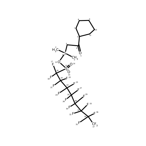 CS(C)(CC(=O)C1CCCCC1)OS(=O)(=O)C(F)(F)C(F)(F)C(F)(F)C(F)(F)C(F)(F)C(F)(F)C(F)(F)C(F)(F)F